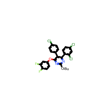 CC(C)COc1nc(Oc2ccc(F)c(F)c2)c(-c2ccc(Cl)cc2)c(-c2ccc(Cl)cc2Cl)n1